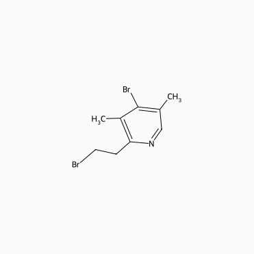 Cc1cnc(CCBr)c(C)c1Br